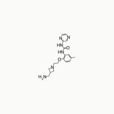 Cc1ccc(OCCN2CC(CN)C2)c(NC(=O)Nc2cnccn2)c1